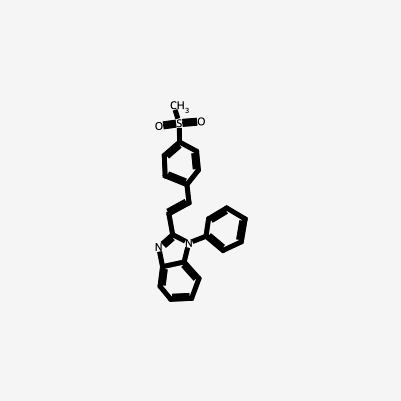 CS(=O)(=O)c1ccc(/C=C/c2nc3ccccc3n2-c2ccccc2)cc1